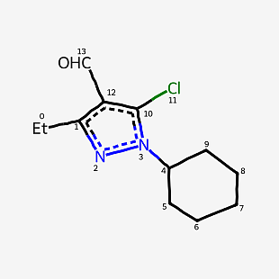 CCc1nn(C2CCCCC2)c(Cl)c1C=O